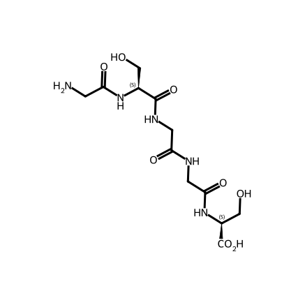 NCC(=O)N[C@@H](CO)C(=O)NCC(=O)NCC(=O)N[C@@H](CO)C(=O)O